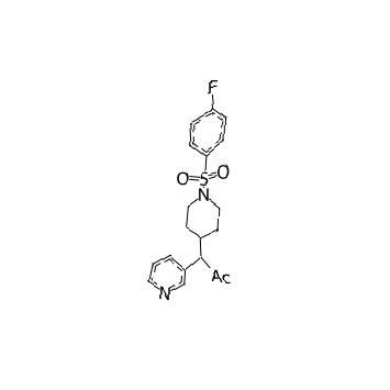 CC(=O)C(c1cccnc1)C1CCN(S(=O)(=O)c2ccc(F)cc2)CC1